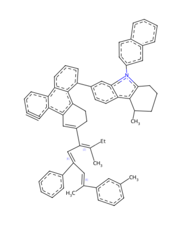 CC/C(C)=C(/C=C(\C=C(/C)c1cccc(C)c1)c1ccccc1)C1=Cc2c(c3c(-c4ccc5c6c(n(-c7ccc8ccccc8c7)c5c4)CCCC6C)cccc3c3ccc#cc23)CC1